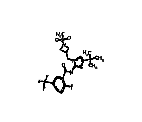 CC(C)(C)c1cn(CC2CN(S(C)(=O)=O)C2)c(=NC(=O)c2cc(C(F)(F)F)ccc2F)s1